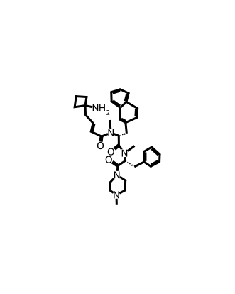 CN1CCN(C(=O)[C@@H](Cc2ccccc2)N(C)C(=O)[C@@H](Cc2ccc3ccccc3c2)N(C)C(=O)/C=C/CC2(N)CCC2)CC1